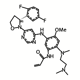 C=CC(=O)Nc1cc(Nc2cc(N3OCC[C@@H]3c3cc(F)ccc3F)ncn2)c(OC)cc1N(C)CCN(C)C